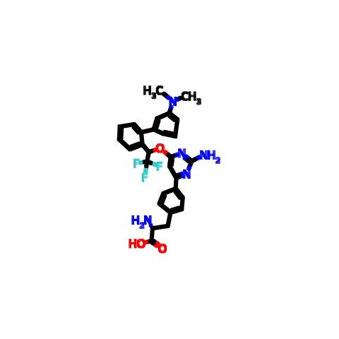 CN(C)c1cccc(-c2ccccc2C(Oc2cc(-c3ccc(C[C@H](N)C(=O)O)cc3)nc(N)n2)C(F)(F)F)c1